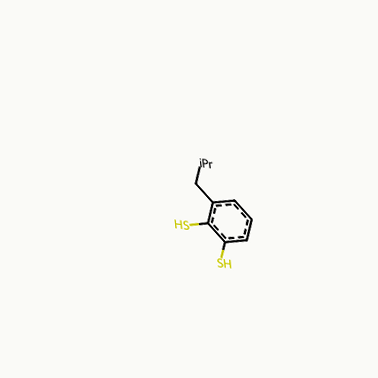 CC(C)Cc1cccc(S)c1S